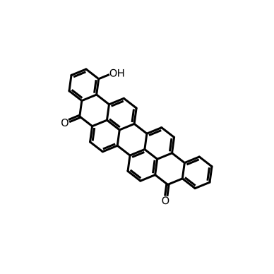 O=C1c2ccccc2-c2ccc3c4ccc5c6c(ccc(c7ccc1c2c73)c64)C(=O)c1cccc(O)c1-5